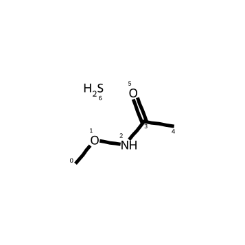 CONC(C)=O.S